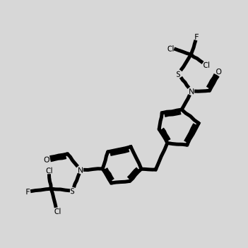 O=CN(SC(F)(Cl)Cl)c1ccc(Cc2ccc(N(C=O)SC(F)(Cl)Cl)cc2)cc1